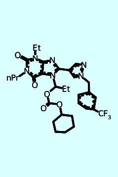 CCCn1c(=O)c2c(nc(-c3cnn(Cc4cccc(C(F)(F)F)c4)c3)n2C(CC)OC(=O)OC2CCCCC2)n(CC)c1=O